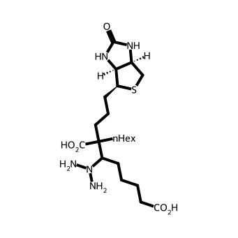 CCCCCCC(CCC[C@@H]1SC[C@@H]2NC(=O)N[C@@H]21)(C(=O)O)C(CCCCC(=O)O)N(N)N